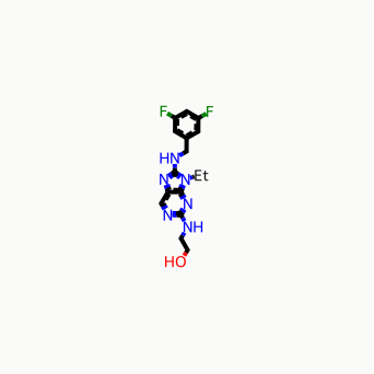 CCn1c(NCc2cc(F)cc(F)c2)nc2cnc(NCCO)nc21